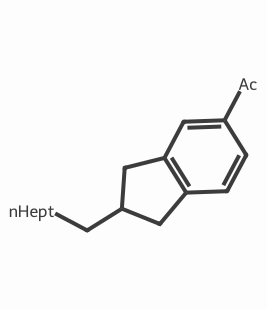 CCCCCCCCC1Cc2ccc(C(C)=O)cc2C1